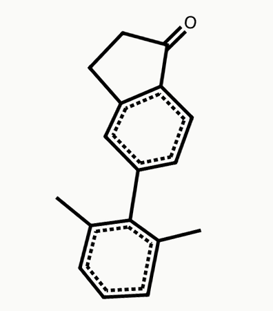 Cc1cccc(C)c1-c1ccc2c(c1)CCC2=O